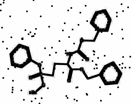 CCCCOP(=O)(CCC(NC(=O)OCc1ccccc1)C(=O)OCc1ccccc1)Oc1ccccc1